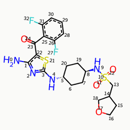 Nc1nc(N[C@H]2CC[C@H](NS(=O)(=O)CC3CCOC3)CC2)sc1C(=O)c1c(F)cccc1F